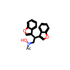 CC(=O)N(O)CC(c1coc2ccccc12)c1coc2ccccc12